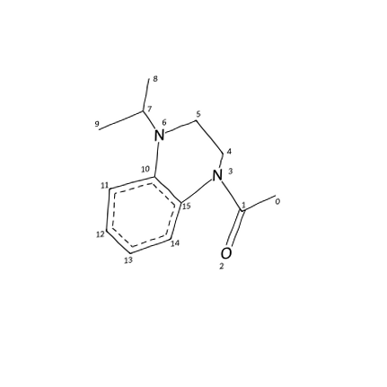 CC(=O)N1CCN(C(C)C)c2ccccc21